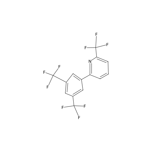 FC(F)(F)c1cc(-c2cccc(C(F)(F)F)n2)cc(C(F)(F)F)c1